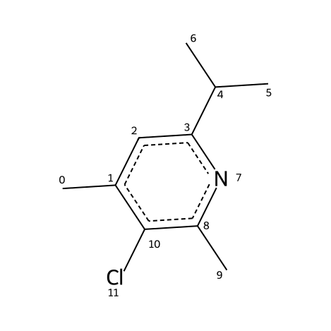 Cc1cc(C(C)C)nc(C)c1Cl